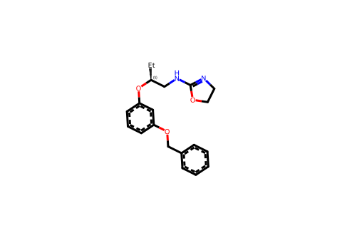 CC[C@@H](CNC1=NCCO1)Oc1cccc(OCc2ccccc2)c1